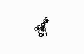 O=C(O)[C@H](Cc1cccc(Cl)c1)NS(=O)(=O)c1ccc(OC(F)(F)F)cc1